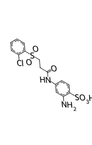 Nc1cc(NC(=O)CCS(=O)(=O)c2ccccc2Cl)ccc1S(=O)(=O)O